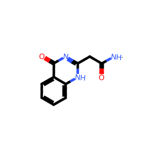 [NH]C(=O)Cc1nc(=O)c2ccccc2[nH]1